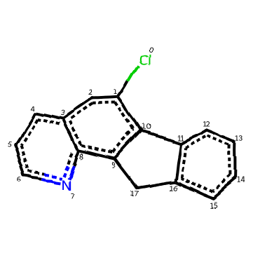 Clc1cc2cccnc2c2c1-c1ccccc1C2